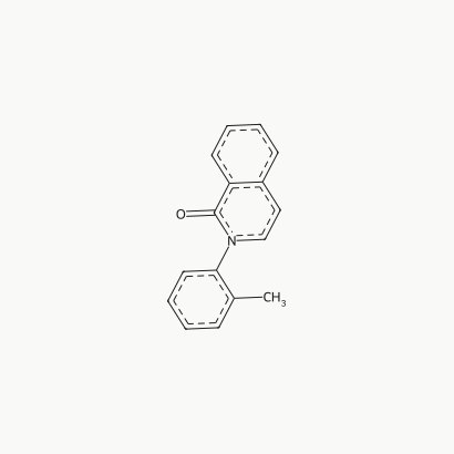 Cc1ccccc1-n1ccc2ccccc2c1=O